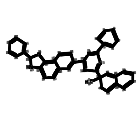 CC1(c2nc(-c3ccccc3)nc(-c3ccc4c5c(ccc4c3)NC(c3ccccc3)O5)n2)C=c2ccccc2=CC1